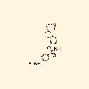 CC(=O)Nc1ccc(S(=O)(=O)Nc2ccc(-c3cnccc3C)c(C)c2)cc1